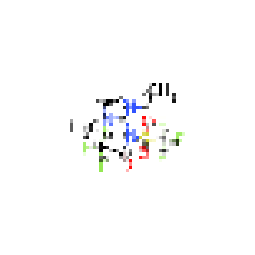 CCN1C=CN(C)C1N(C(=O)C(F)(F)F)S(=O)(=O)C(F)(F)F